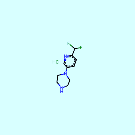 Cl.FC(F)c1ccc(N2CCNCC2)cn1